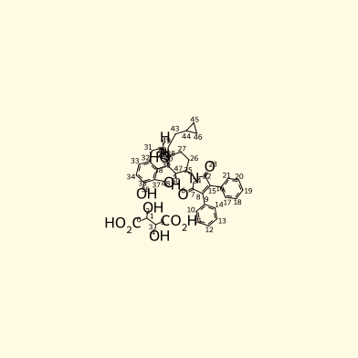 O=C(O)C(O)C(O)C(=O)O.O=C1C(c2ccccc2)=C(c2ccccc2)C(=O)N1[C@@H]1CC[C@@]2(O)[C@H]3Cc4ccc(O)c5c4[C@@]2(CCN3CC2CC2)[C@H]1O5